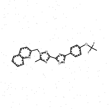 Cc1nc(-c2nc(-c3ccc(OC(C)(F)F)cc3)no2)nn1Cc1ccc2ccccc2n1